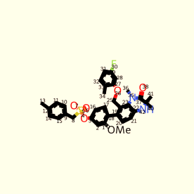 COc1cc(OS(=O)(=O)Cc2ccc(C)cc2)ccc1-c1ccc2c(c1COc1cc(F)ccc1C)N(C)C(=O)C(C)(C)N2